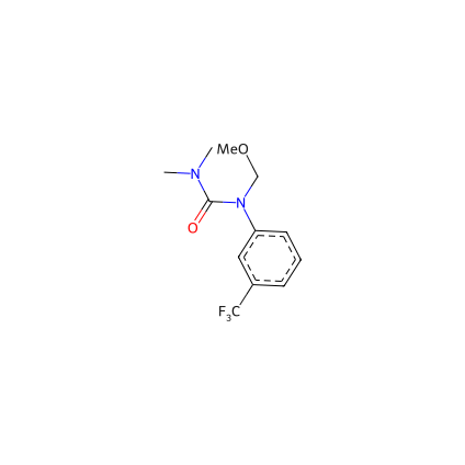 COCN(C(=O)N(C)C)c1cccc(C(F)(F)F)c1